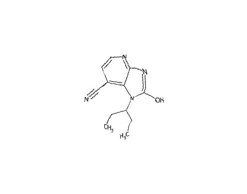 CCC(CC)n1c(O)nc2nccc(C#N)c21